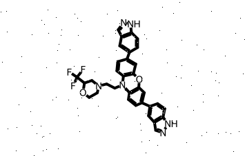 FC(F)(F)C1CN(CCN2c3ccc(-c4ccc5[nH]ncc5c4)cc3Oc3cc(-c4ccc5[nH]ncc5c4)ccc32)CCO1